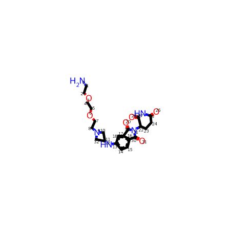 NCCOCCOCCN1CC(Nc2ccc3c(c2)C(=O)N(C2CCC(=O)NC2=O)C3=O)C1